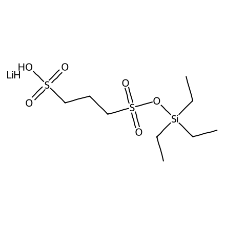 CC[Si](CC)(CC)OS(=O)(=O)CCCS(=O)(=O)O.[LiH]